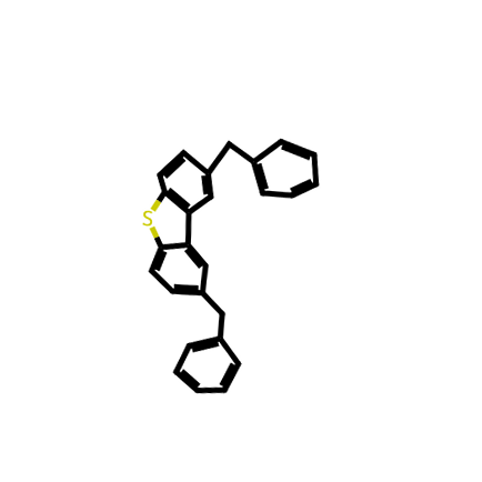 c1ccc(Cc2ccc3sc4ccc(Cc5ccccc5)cc4c3c2)cc1